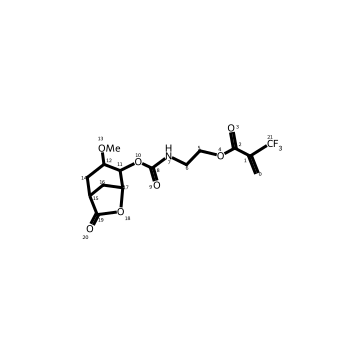 C=C(C(=O)OCCNC(=O)OC1C(OC)CC2CC1OC2=O)C(F)(F)F